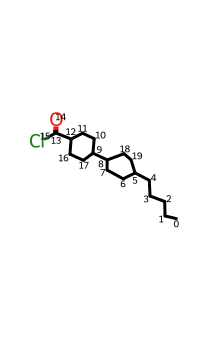 CCCCCC1CCC(C2CCC(C(=O)Cl)CC2)CC1